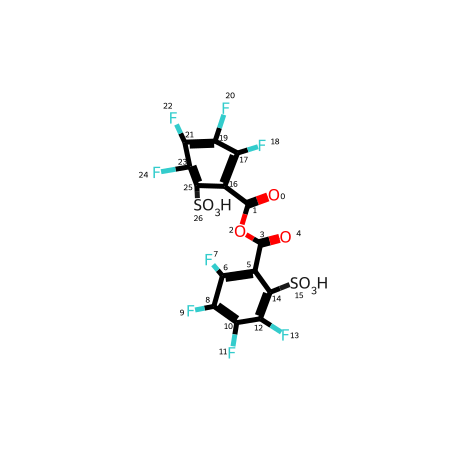 O=C(OC(=O)c1c(F)c(F)c(F)c(F)c1S(=O)(=O)O)c1c(F)c(F)c(F)c(F)c1S(=O)(=O)O